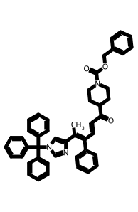 CC(=C(C=CC(=O)C1CCN(C(=O)OCc2ccccc2)CC1)c1ccccc1)c1cn(C(c2ccccc2)(c2ccccc2)c2ccccc2)cn1